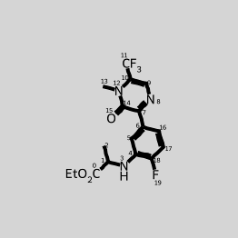 CCOC(=O)C(C)Nc1cc(-c2ncc(C(F)(F)F)n(C)c2=O)ccc1F